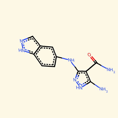 NC(=O)c1c(Nc2ccc3[nH]ncc3c2)n[nH]c1N